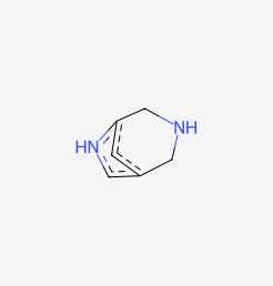 c1[nH]c2cc1CNC2